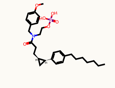 CCCCCCCc1ccc([C@@H]2C[C@H]2CCC(=O)N(CCOP(=O)(O)O)Cc2ccc(OC)cc2)cc1